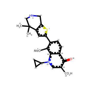 COc1c(-c2cc3c(s2)CNCC3(C)C)ccc2c(=O)c(C(=O)O)cn(C3CC3)c12